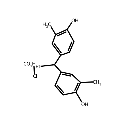 CCC(c1ccc(O)c(C)c1)c1ccc(O)c(C)c1.O=C(O)Cl